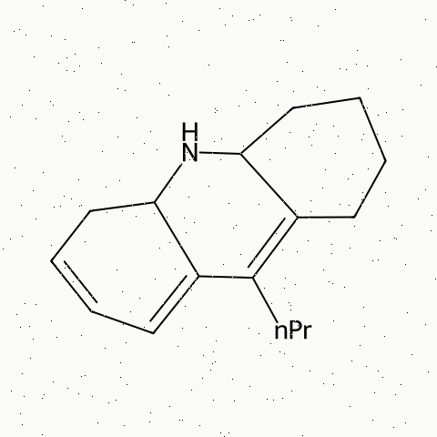 CCCC1=C2CCCCC2NC2CC=CC=C12